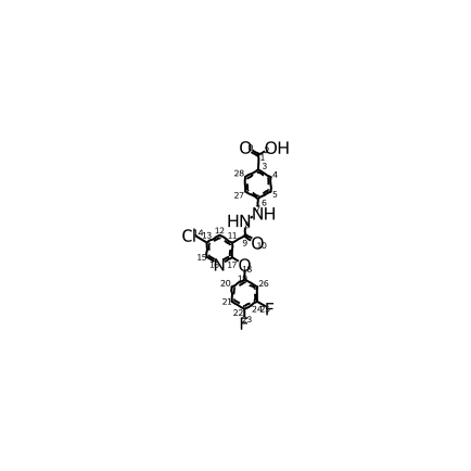 O=C(O)c1ccc(NNC(=O)c2cc(Cl)cnc2Oc2ccc(F)c(F)c2)cc1